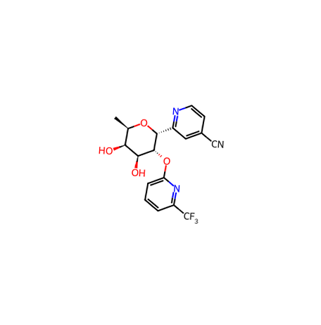 C[C@H]1O[C@H](c2cc(C#N)ccn2)[C@H](Oc2cccc(C(F)(F)F)n2)[C@@H](O)[C@H]1O